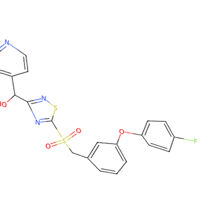 O=S(=O)(Cc1cccc(Oc2ccc(F)cc2)c1)c1nc(C(O)c2ccncc2)ns1